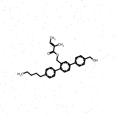 C/C=C(\C)C(=O)OCc1cc(-c2ccc(CO)cc2)ccc1-c1ccc(CCCCC)cc1